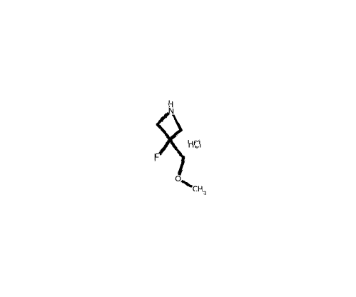 COCC1(F)CNC1.Cl